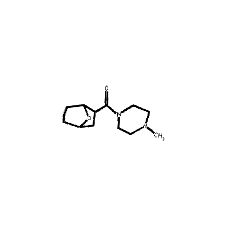 CN1CCN(C(=O)C2CC3CCC2O3)CC1